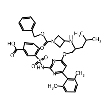 Cc1cccc(C)c1-c1cc(OCC(CC(C)C)NC2CN(C(=O)OCc3ccccc3)C2)nc(NS(=O)(=O)c2cccc(C(=O)O)c2)n1